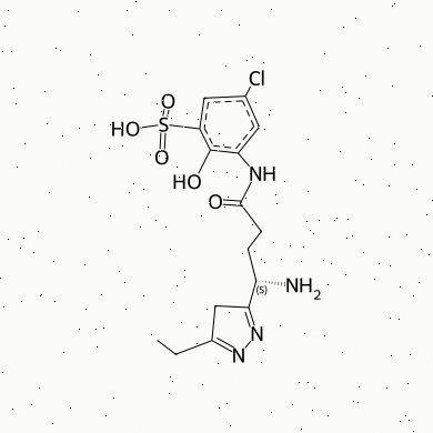 CCC1=NN=C([C@@H](N)CCC(=O)Nc2cc(Cl)cc(S(=O)(=O)O)c2O)C1